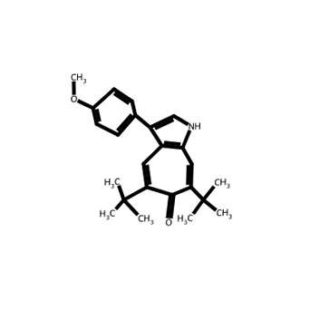 COc1ccc(-c2c[nH]c3cc(C(C)(C)C)c(=O)c(C(C)(C)C)cc23)cc1